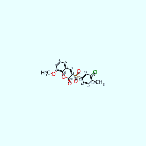 COc1cccc2cc(S(=O)(=O)c3ccc(C)c(Cl)c3)c(=O)oc12